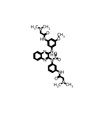 COc1cc(NC(=O)CN(C)C)cc(Nc2nc3ccccc3nc2N(c2cccc(NC(=O)CN(C)C)c2)[SH](=O)=O)c1